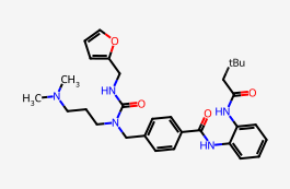 CN(C)CCCN(Cc1ccc(C(=O)Nc2ccccc2NC(=O)CC(C)(C)C)cc1)C(=O)NCc1ccco1